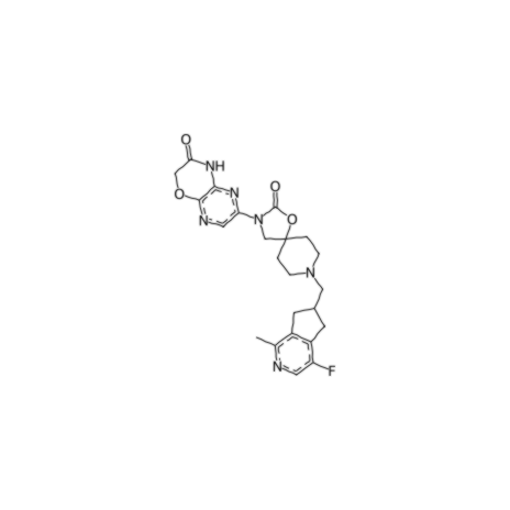 Cc1ncc(F)c2c1CC(CN1CCC3(CC1)CN(c1cnc4c(n1)NC(=O)CO4)C(=O)O3)C2